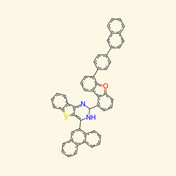 c1ccc2cc(-c3ccc(-c4cccc5c4oc4cccc(C6N=c7c(sc8ccccc78)=C(c7cc8ccccc8c8ccccc78)N6)c45)cc3)ccc2c1